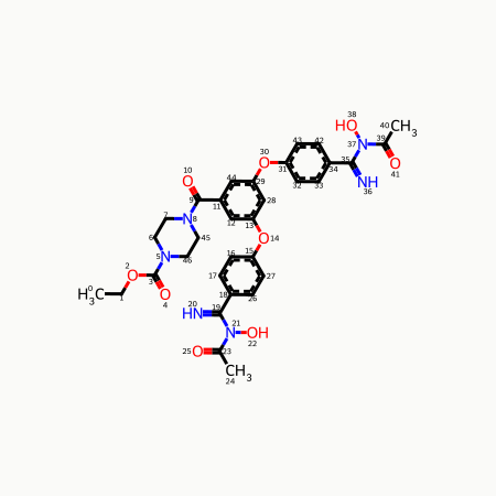 CCOC(=O)N1CCN(C(=O)c2cc(Oc3ccc(C(=N)N(O)C(C)=O)cc3)cc(Oc3ccc(C(=N)N(O)C(C)=O)cc3)c2)CC1